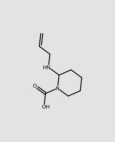 C=CCNC1CCCCN1C(=O)O